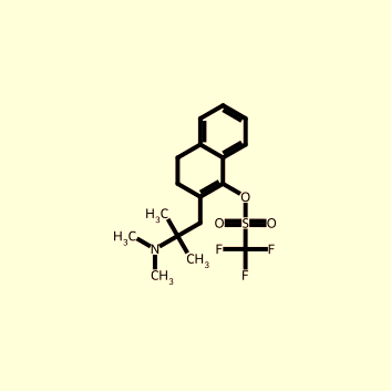 CN(C)C(C)(C)CC1=C(OS(=O)(=O)C(F)(F)F)c2ccccc2CC1